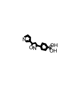 OB(O)c1ccc(C2=NOC(c3cccnc3)C2)cc1